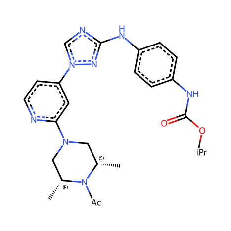 CC(=O)N1[C@H](C)CN(c2cc(-n3cnc(Nc4ccc(NC(=O)OC(C)C)cc4)n3)ccn2)C[C@@H]1C